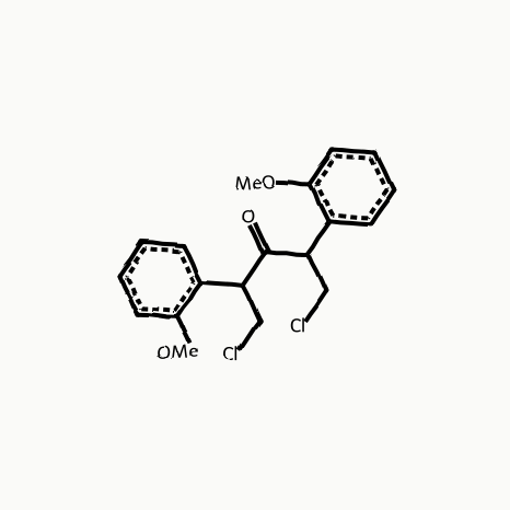 COc1ccccc1C(CCl)C(=O)C(CCl)c1ccccc1OC